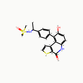 C=S(C)(=O)NC(C)c1ccc(-c2c(O)ccc3[nH]c(=O)c4sccc4c23)cc1